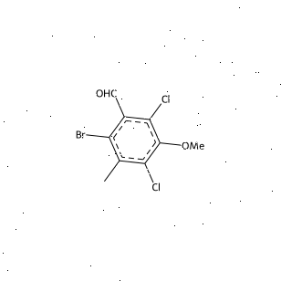 COc1c(Cl)c(C)c(Br)c(C=O)c1Cl